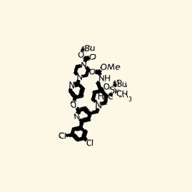 COC(=O)NCC1(O[Si](C)(C)C(C)(C)C)CCN(Cc2cc(Oc3ccc(N4CCN(C(=O)OC(C)(C)C)CC4)nc3)nc(-c3cc(Cl)cc(Cl)c3)c2)CC1